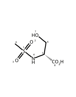 CS(=O)(=O)N[C@H](CO)C(=O)O